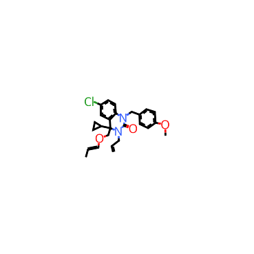 C=CCN1C(=O)N(Cc2ccc(OC)cc2)c2ccc(Cl)cc2C1(COC=CC)C1CC1